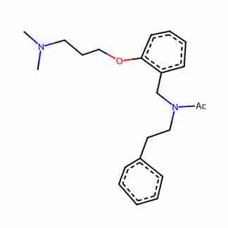 CC(=O)N(CCc1ccccc1)Cc1ccccc1OCCCN(C)C